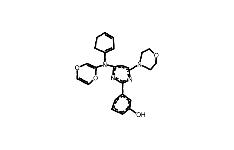 Oc1cccc(-c2nc(N3CCOCC3)cc(N(C3=CC=CCC3)C3=COC=CO3)n2)c1